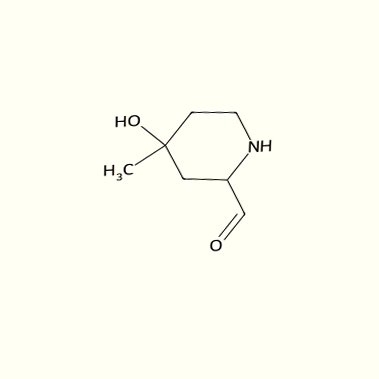 CC1(O)CCNC(C=O)C1